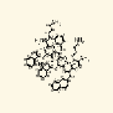 NCCCC[C@H](NC(=O)[C@@H](Cc1ccc2ccccc2c1)NC(=O)[C@@H](Cc1c[nH]c2ccccc12)NC(=O)[C@H](Cc1ccccc1)NC(=O)[C@@H](Cc1csc2ccccc12)NC(=O)[C@@H](N)CCCCN)C(N)=O